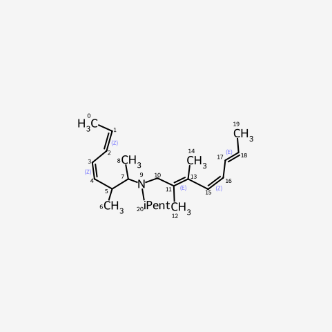 C/C=C\C=C/C(C)C(C)N(C/C(C)=C(C)/C=C\C=C\C)C(C)CCC